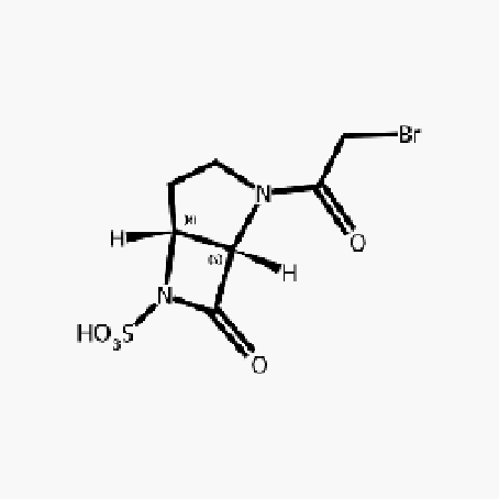 O=C(CBr)N1CC[C@@H]2[C@H]1C(=O)N2S(=O)(=O)O